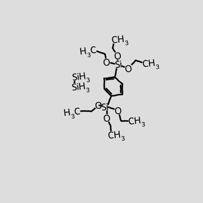 CCO[Si](OCC)(OCC)c1ccc([Si](OCC)(OCC)OCC)cc1.[SiH3][SiH3]